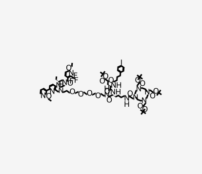 CCOc1ccc(C(=O)N2CCN(c3ccc(-c4cccnc4OCC)nc3CNCCCOCCOCCOCCOCCNC(=O)[C@@H](CCCCNC(=O)CN3CCN(CC(=O)OC(C)(C)C)CCN(CC(=O)OC(C)(C)C)CCN(CC(=O)OC(C)(C)C)CC3)NC(=O)[C@@H](CCC(=O)OC(C)(C)C)NC(=O)CCCc3ccc(I)cc3)[C@H](CC)C2)c(C(F)(F)F)n1